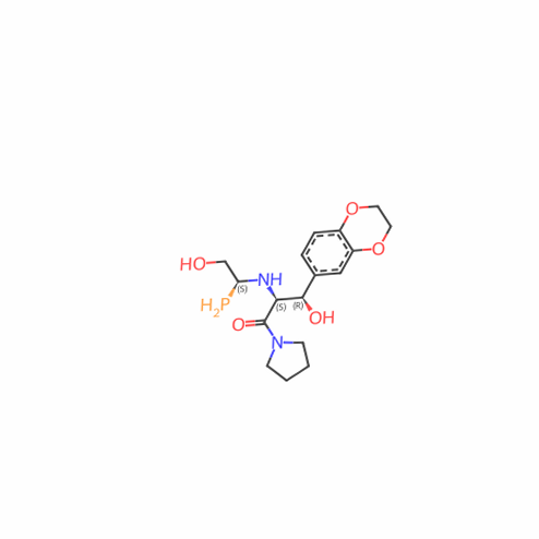 O=C([C@@H](N[C@@H](P)CO)[C@H](O)c1ccc2c(c1)OCCO2)N1CCCC1